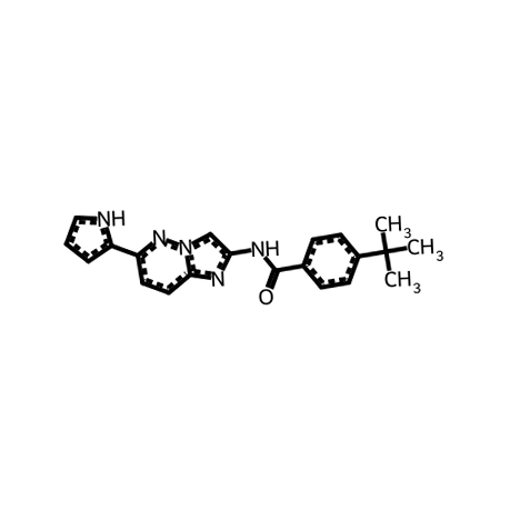 CC(C)(C)c1ccc(C(=O)Nc2cn3nc(-c4ccc[nH]4)ccc3n2)cc1